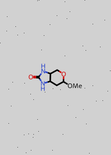 COC1CC2NC(=O)NC2CO1